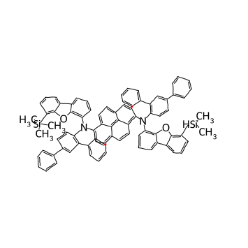 C[SiH](C)Cc1cccc2c1oc1c(N(c3ccc(-c4ccccc4)cc3-c3ccccc3)c3ccc4ccc5c(N(c6ccc(-c7ccccc7)cc6-c6ccccc6)c6cccc7c6oc6c([Si](C)(C)C)cccc67)ccc6ccc3c4c65)cccc12